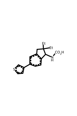 CCC1(CC)Cc2cc(-c3ccsc3)ccc2C1NC(=O)O